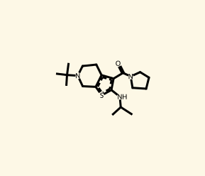 CC(C)Nc1sc2c(c1C(=O)N1CCCC1)CCN(C(C)(C)C)C2